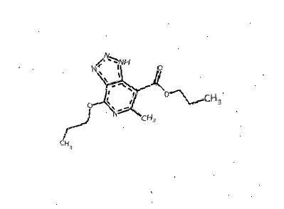 CCCOC(=O)c1c(C)nc(OCCC)c2nn[nH]c12